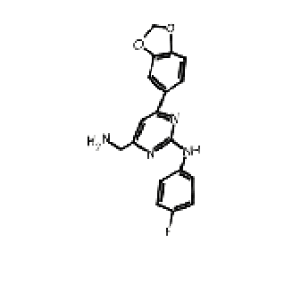 NCc1cc(-c2ccc3c(c2)OCO3)nc(Nc2ccc(F)cc2)n1